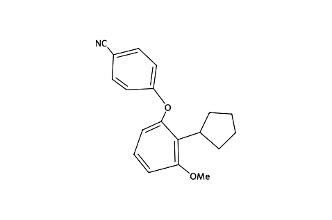 COc1cccc(Oc2ccc(C#N)cc2)c1C1CCCC1